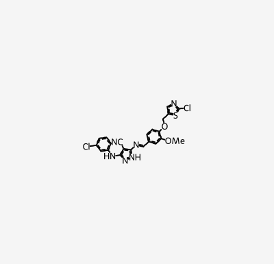 COc1cc(/C=N/c2[nH]nc(Nc3cccc(Cl)c3)c2C#N)ccc1OCc1cnc(Cl)s1